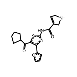 O=C(Nc1nc(-c2ccco2)c(C(=O)C2CCCC2)s1)C1=CCNC1